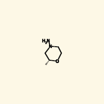 C[C@@H]1CN(N)CCO1